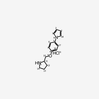 Cl.c1ccn(-c2ccc(OCC3CCCN3)cc2)c1